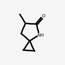 CC1CC2(CC2)NC1=O